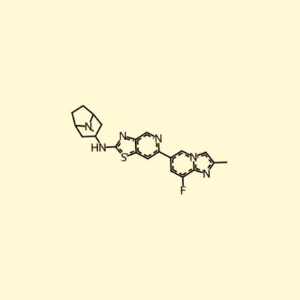 Cc1cn2cc(-c3cc4sc(NC5CC6CCC(C5)N6C)nc4cn3)cc(F)c2n1